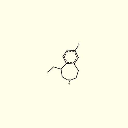 Fc1ccc2c(c1)CCNCC2CI